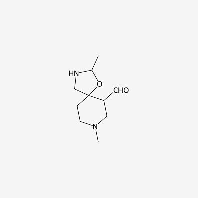 CC1NCC2(CCN(C)CC2C=O)O1